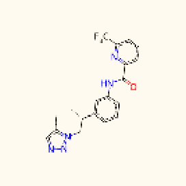 Cc1cnnn1C[C@H](C)c1cccc(NC(=O)c2cccc(C(F)(F)F)n2)c1